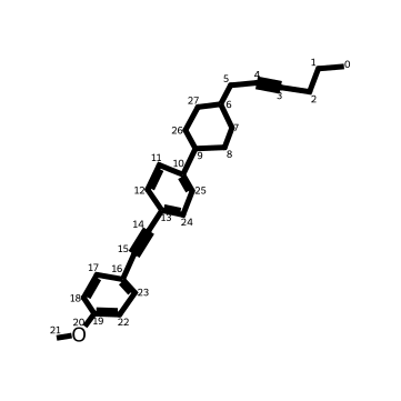 CCCC#CCC1CCC(c2ccc(C#Cc3ccc(OC)cc3)cc2)CC1